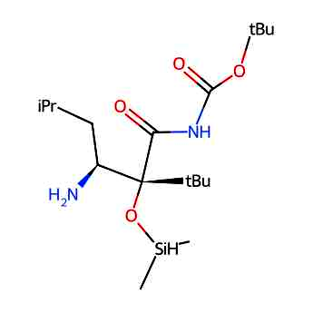 CC(C)C[C@H](N)[C@@](O[SiH](C)C)(C(=O)NC(=O)OC(C)(C)C)C(C)(C)C